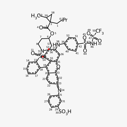 CC(C)CC1(C(=O)OC2CCN(S(=O)(=O)c3ccccc3-c3c4cc/c(=N\c5cccc(S(=O)(=O)O)c5)cc-4oc4cc(Nc5ccc(S(=O)(=O)NS(=O)(=O)C(F)(F)F)cc5)ccc34)CC2)CC1C